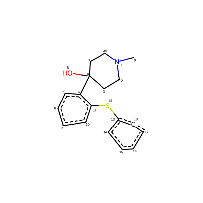 CN1CCC(O)(c2ccccc2Sc2ccccc2)CC1